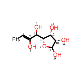 CCC=C(O)[C@@H](O)[C@H]1OC(O)[C@@H](O)[C@H]1O